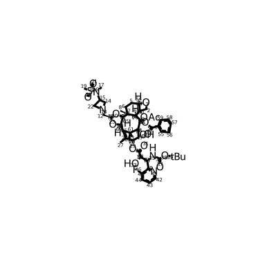 CC(=O)O[C@@]12CO[C@@H]1CC[C@@]1(C)[C@@H]3O[C@H](CN4CC(N(C)S(C)(=O)=O)C4)O[C@@H]3C3=C(C)[C@@H](OC(=O)[C@H](O)[C@@H](NC(=O)OC(C)(C)C)c4ncccc4F)C[C@@](O)([C@@H](OC(=O)c4ccccc4)[C@@H]12)C3(C)C